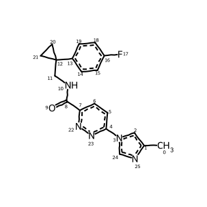 Cc1cn(-c2ccc(C(=O)NCC3(c4ccc(F)cc4)CC3)nn2)cn1